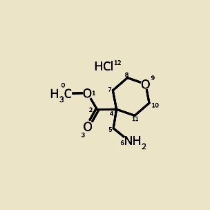 COC(=O)C1(CN)CCOCC1.Cl